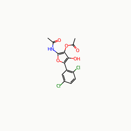 CC(=O)Nc1oc(-c2cc(Cl)ccc2Cl)c(O)c1OC(C)=O